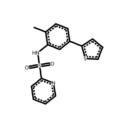 Cc1ccc(-c2cccs2)cc1NS(=O)(=O)c1ccccn1